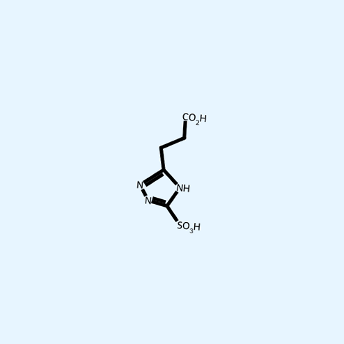 O=C(O)CCc1nnc(S(=O)(=O)O)[nH]1